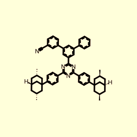 C[C@@H]1C[C@@H]2C[C@H](C)CC(c3ccc(-c4nc(-c5ccc(C67C[C@H](C)C[C@H](C[C@H](C)C6)C7)cc5)nc(-c5cc(-c6ccccc6)cc(-c6cccc(C#N)c6)c5)n4)cc3)(C1)C2